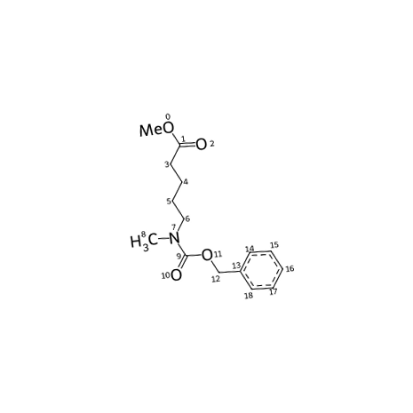 COC(=O)CCCCN(C)C(=O)OCc1ccccc1